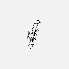 COc1ccc(Cn2c3ncnc4c(ncn4Cc4ccccc4Cl)c-3nc2=O)cc1